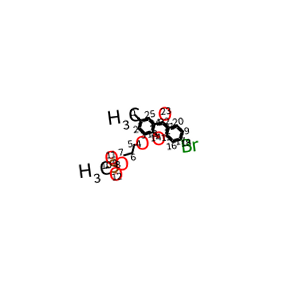 Cc1cc(OCCCOS(C)(=O)=O)c2oc3cc(Br)ccc3c(=O)c2c1